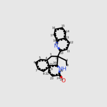 CCC(Cc1ccccc1)(c1ccc2ccccc2n1)c1cccc(=O)[nH]1